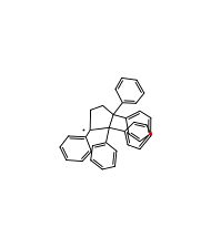 c1ccc([C]2CCC(c3ccccc3)(c3ccccc3)C2(c2ccccc2)c2ccccc2)cc1